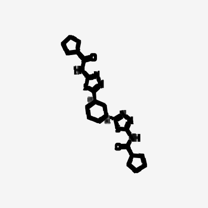 O=C(Nc1nnc([C@@H]2CCC[C@@H](c3nnc(NC(=O)C4CCCC4)s3)C2)s1)C1CCCC1